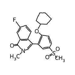 Cn1cc(-c2cc(S(C)(=O)=O)ccc2OC2CCCCC2)c2ccc(F)cc2c1=O